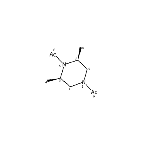 CC(=O)N1C[C@@H](C)N(C(C)=O)[C@@H](C)C1